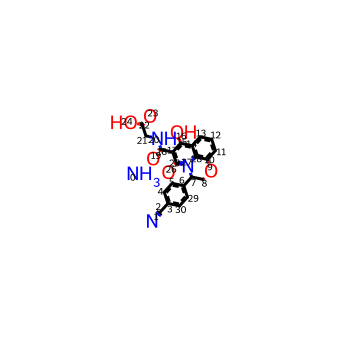 N.N#Cc1ccc(C2COc3cccc4c(O)c(C(=O)NCC(=O)O)c(=O)n2c34)cc1